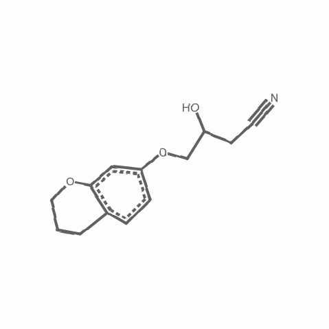 N#CCC(O)COc1ccc2c(c1)OCCC2